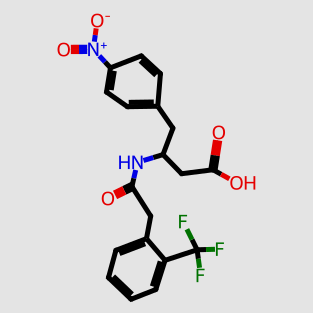 O=C(O)CC(Cc1ccc([N+](=O)[O-])cc1)NC(=O)Cc1ccccc1C(F)(F)F